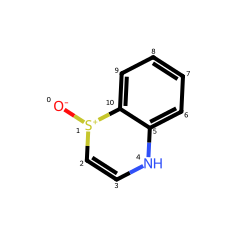 [O-][S+]1C=CNc2ccccc21